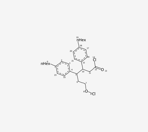 CCCCCCc1ccc(C(CCOCl)C(CC(=O)Cl)c2ccc(CCCCCC)cc2)cc1